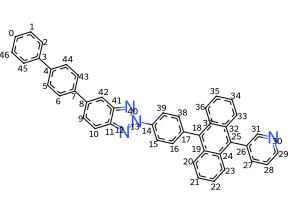 c1ccc(-c2ccc(-c3ccc4nn(-c5ccc(-c6c7ccccc7c(-c7cccnc7)c7ccccc67)cc5)nc4c3)cc2)cc1